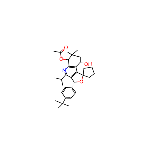 CC(=O)O[C@@H]1c2nc(C(C)C)c3c(c2[C@@H](O)CC1(C)C)C1(CCCC1)O[C@@H]3c1ccc(C(C)(C)C)cc1